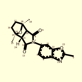 Cc1nc2ccc(N3C(=O)C4[C@H](C3=O)[C@@]3(C)CC[C@]4(C)O3)cc2o1